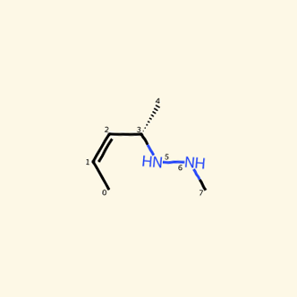 C/C=C\[C@H](C)NNC